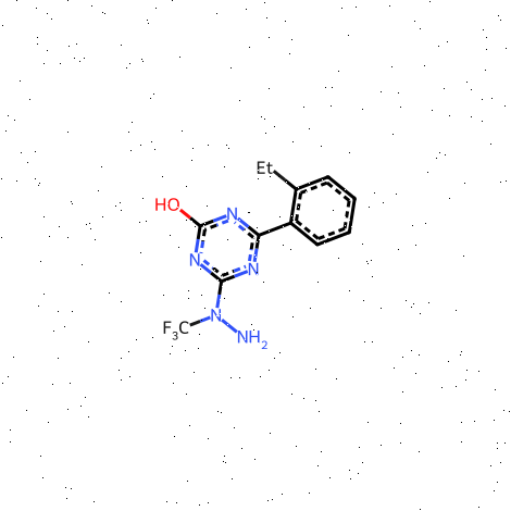 CCc1ccccc1-c1nc(O)nc(N(N)C(F)(F)F)n1